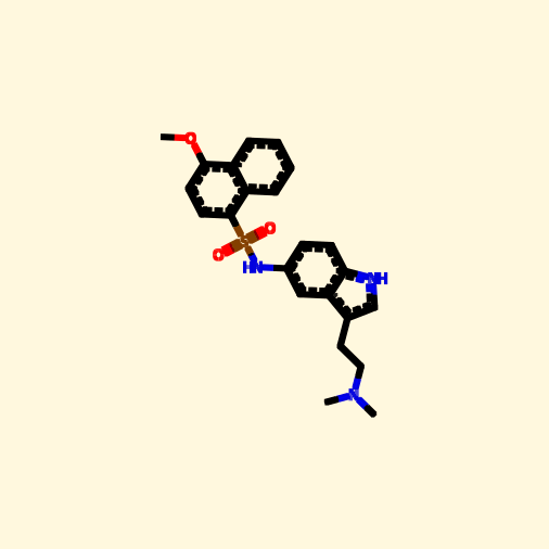 COc1ccc(S(=O)(=O)Nc2ccc3[nH]cc(CCN(C)C)c3c2)c2ccccc12